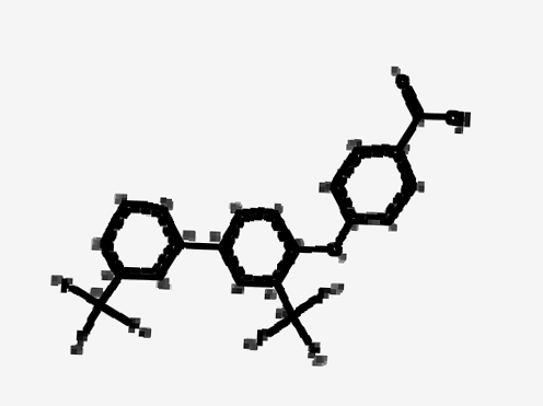 O=C(O)c1ccc(Oc2ccc(-c3cccc(C(F)(F)F)c3)cc2C(F)(F)F)cc1